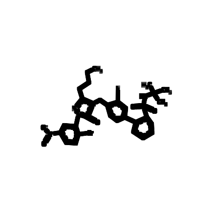 CCCCc1nn(-c2cc([N+](=O)[O-])ccc2Br)c(=O)n1Cc1ccc(-c2ccccc2S(=O)(=O)NC(C)(C)C)cc1F